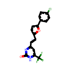 O=c1nc(/C=C/c2ccc(-c3ccc(Cl)cc3)o2)cc(C(F)(F)F)[nH]1